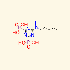 CCCCCNc1nc(P(=O)(O)O)nc(P(=O)(O)O)n1